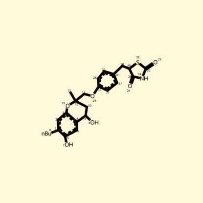 CCCCc1cc2c(cc1O)C(O)CC(C)(COc1ccc(CC3SC(=O)NC3=O)cc1)O2